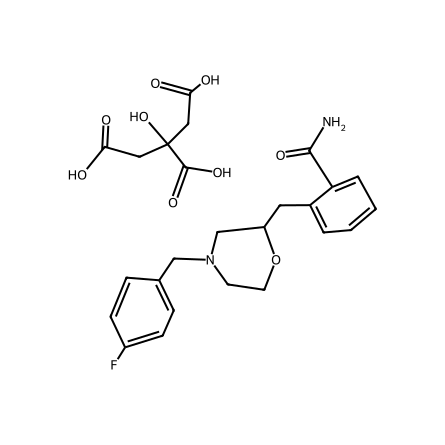 NC(=O)c1ccccc1CC1CN(Cc2ccc(F)cc2)CCO1.O=C(O)CC(O)(CC(=O)O)C(=O)O